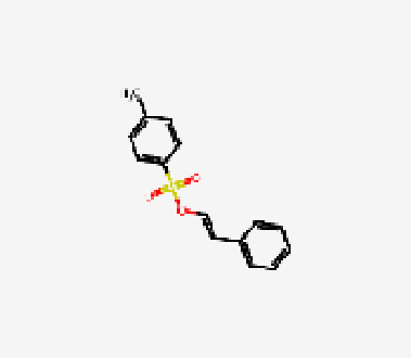 Cc1ccc(S(=O)(=O)OC=Cc2ccccc2)cc1